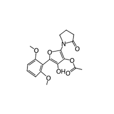 COc1cccc(OC)c1-c1oc(N2CCCC2=O)c(OC(C)=O)c1O